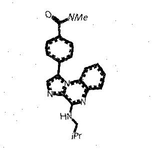 CNC(=O)c1ccc(-c2cnc3c(NCC(C)C)nc4ccccc4n23)cc1